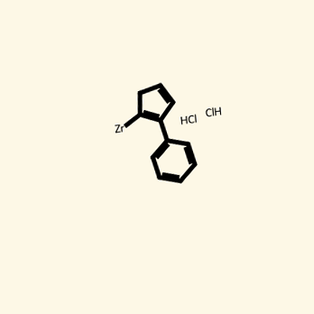 Cl.Cl.[Zr][C]1=C(c2ccccc2)C=CC1